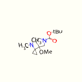 COC1(C2(N(C)C)CC2)CCN(C(=O)OC(C)(C)C)C1